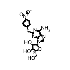 Nc1nc(Sc2ccc([N+](=O)[O-])cc2)nc2c1ncn2[C@@H]1O[C@H](CO)C(O)C1O